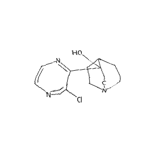 OC1(c2nccnc2Cl)CN2CCC1CC2